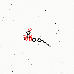 CCCCCCCc1ccc(-c2ccc(OC(=O)[C@H]3OC(C)(C)OC3c3ccc(OC)cc3)cc2)cc1